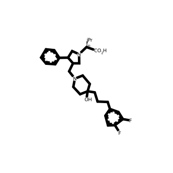 CC(C)[C@H](C(=O)O)N1CC(CN2CCC(O)(CCCc3ccc(F)c(F)c3)CC2)C(c2ccccc2)C1